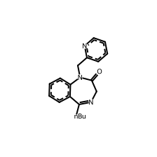 CCCCC1=NCC(=O)N(Cc2ccccn2)c2ccccc21